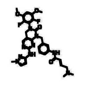 COc1cc(OC)c(F)c(N2Cc3cnc(Nc4ccn(C)n4)nc3N(Cc3cccc(NC(=O)/C=C/CN(C)C)c3)C2=O)c1F